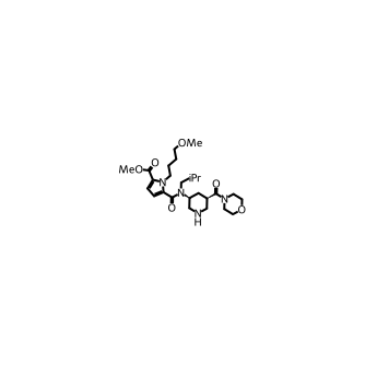 COCCCCn1c(C(=O)OC)ccc1C(=O)N(CC(C)C)[C@@H]1CNC[C@H](C(=O)N2CCOCC2)C1